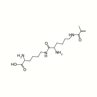 C=C(C)C(=O)NCCCCC(N)C(=O)NCCCCC(N)C(=O)O